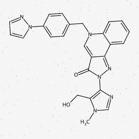 Cn1cnc(-n2nc3c4ccccc4n(Cc4ccc(-n5cccn5)cc4)cc-3c2=O)c1CO